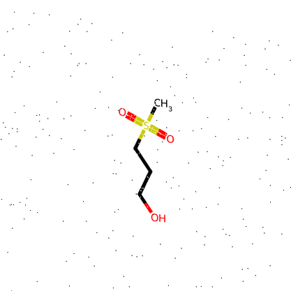 CS(=O)(=O)CC[CH]O